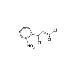 O=[N+]([O-])c1ccccc1C(Cl)C=C(Cl)Cl